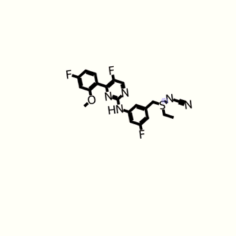 CC/S(Cc1cc(F)cc(Nc2ncc(F)c(-c3ccc(F)cc3OC)n2)c1)=N\C#N